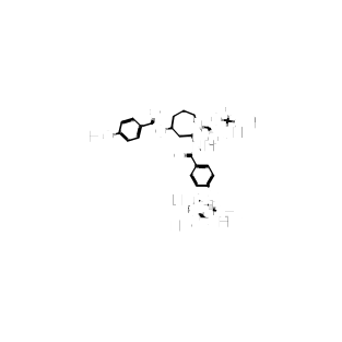 CC(C)(C)OC(=O)N1CCCC(OC(=O)c2ccc(O)cc2)CC1NC(=O)c1ccc(O[Si](C)(C)C(C)(C)C)cc1